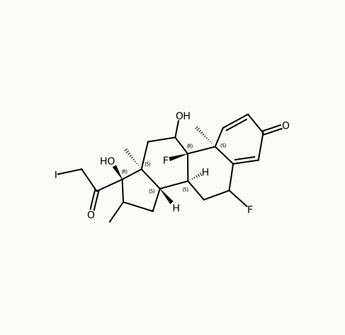 CC1C[C@H]2[C@@H]3CC(F)C4=CC(=O)C=C[C@]4(C)[C@@]3(F)C(O)C[C@]2(C)[C@@]1(O)C(=O)CI